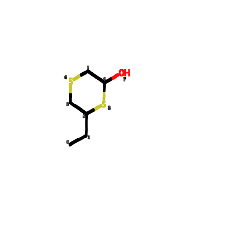 CCC1CSCC(O)S1